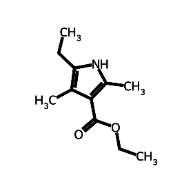 CCOC(=O)c1c(C)[nH]c(CC)c1C